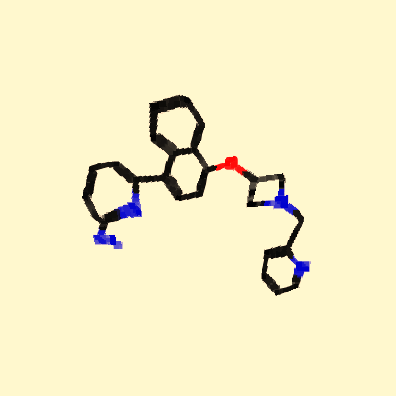 Nc1cccc(-c2ccc(OC3CN(Cc4ccccn4)C3)c3ccccc23)n1